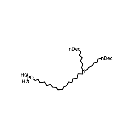 CCCCCCCCCCCCCCCCN(CCCCCCCC/C=C\CCCCCCCCOP(O)O)CCCCCCCCCCCCCCCC